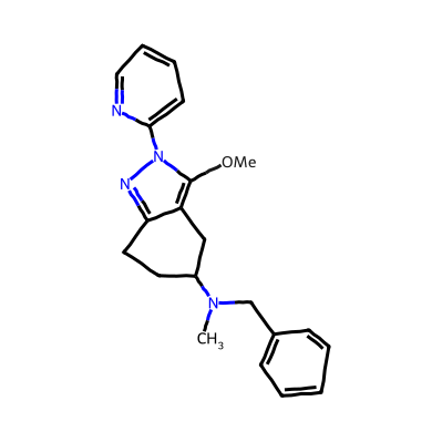 COc1c2c(nn1-c1ccccn1)CCC(N(C)Cc1ccccc1)C2